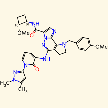 COc1ccc(CN2CCc3c(Nc4cccn(-c5cc(C)n(C)n5)c4=O)nn4c(C(=O)N[C@@H]5CC[C@H]5OC)cnc4c32)cc1